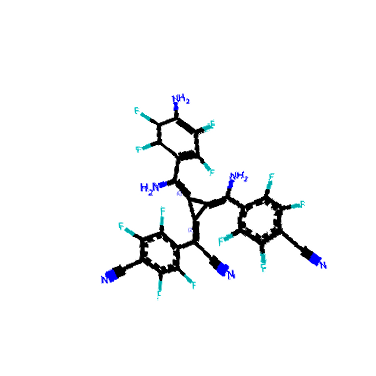 N#C/C(=C1\C(=C(N)c2c(F)c(F)c(C#N)c(F)c2F)\C1=C(\N)C1=C(F)C(F)=C(N)C(F)C1F)c1c(F)c(F)c(C#N)c(F)c1F